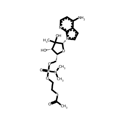 CC(=O)SCCOP(=O)(OC[C@H]1O[C@@H](n2ccc3c(N)ccnc32)C(C)(O)[C@H]1O)N(C)C